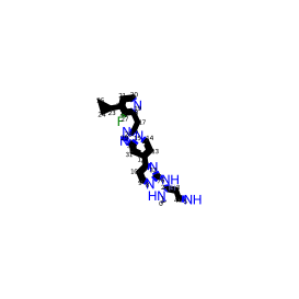 CN/C(=C\C=N)Nc1nccc(-c2ccn3c(Cc4nccc(C5CC5)c4F)nnc3c2)n1